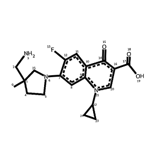 CC1(CN)CCN(c2cc3c(cc2F)c(=O)c(C(=O)O)cn3C2CC2)C1